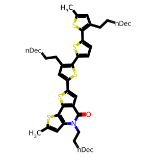 CCCCCCCCCCCCc1cc(C)sc1-c1ccc(-c2sc(-c3cc4c(=O)n(CCCCCCCCCCCC)c5cc(C)sc5c4s3)cc2CCCCCCCCCCCC)s1